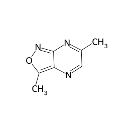 Cc1cnc2c(C)onc2n1